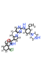 Cc1cc(N2CCNCC2)ccc1Nc1ncc2c(n1)-n1ccc(C(=O)Nc3c(C)cccc3Cl)c1CC2